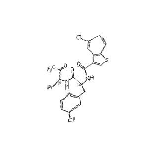 CC(C)[C@H](NC(=O)[C@H](Cc1cccc(Cl)c1)NC(=O)c1csc2ccc(Cl)cc12)C(=O)C(F)(F)F